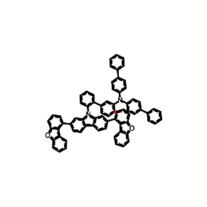 c1ccc(-c2ccc(N(c3ccc(-c4ccccc4)cc3)c3cccc(-c4ccccc4-n4c5cc(-c6cccc7oc8ccccc8c67)ccc5c5ccc(-c6cccc7oc8ccccc8c67)cc54)c3)cc2)cc1